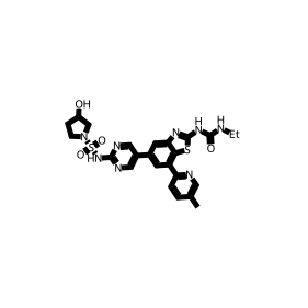 CCNC(=O)Nc1nc2cc(-c3cnc(NS(=O)(=O)N4CCC(O)C4)nc3)cc(-c3ccc(C)cn3)c2s1